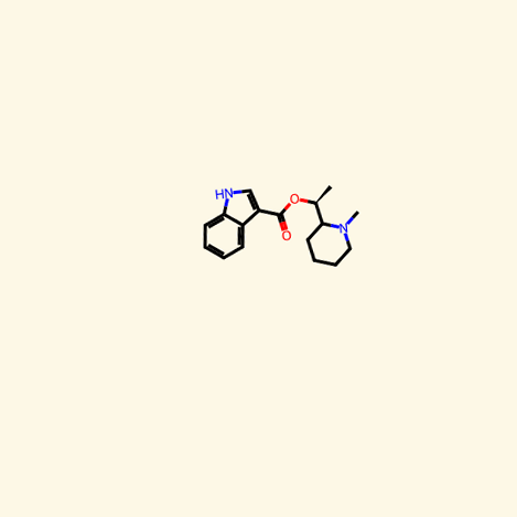 C[C@H](OC(=O)c1c[nH]c2ccccc12)C1CCCCN1C